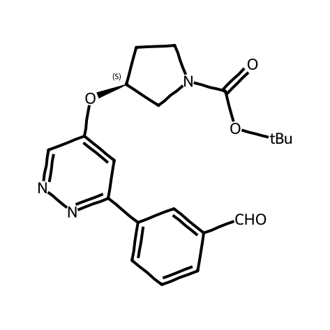 CC(C)(C)OC(=O)N1CC[C@H](Oc2cnnc(-c3cccc(C=O)c3)c2)C1